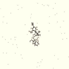 CCN[C@]1(c2ccccc2)CC[C@]2(CC1)CN(c1ccc(C#N)cc1OC)C(=O)N2